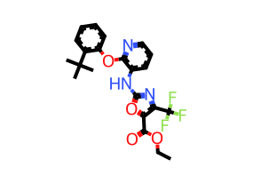 CCOC(=O)c1oc(Nc2cccnc2Oc2ccccc2C(C)(C)C)nc1C(F)(F)F